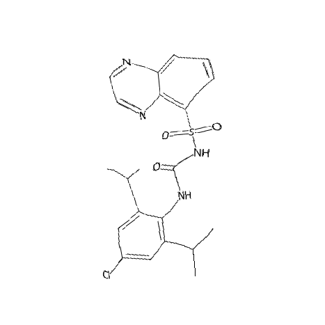 CC(C)c1cc(Cl)cc(C(C)C)c1NC(=O)NS(=O)(=O)c1cccc2nccnc12